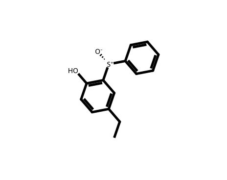 CCc1ccc(O)c([S@+]([O-])c2ccccc2)c1